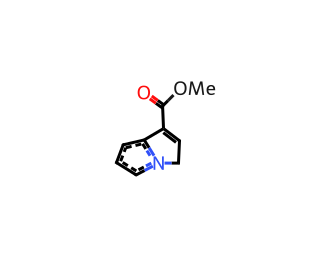 COC(=O)C1=CCn2cccc21